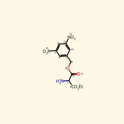 CCOC(=O)C(N)C(=O)OCc1cc([N+](=O)[O-])cc([N+](=O)[O-])c1